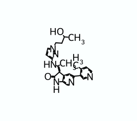 C/C(Nc1ccn(CCC(C)O)n1)=C1/C(=O)Nc2cnc(-c3cnccc3C)cc21